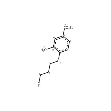 CCOC(=O)c1ccc(OCCCCl)c(C)c1